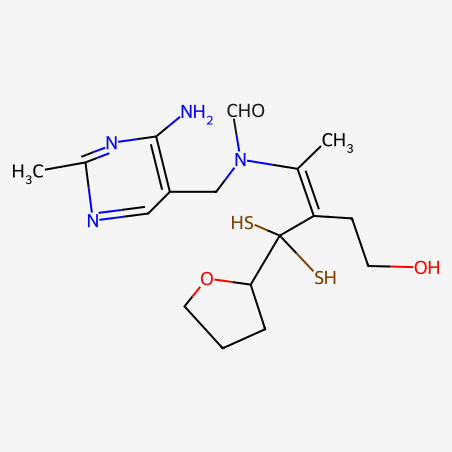 CC(=C(CCO)C(S)(S)C1CCCO1)N(C=O)Cc1cnc(C)nc1N